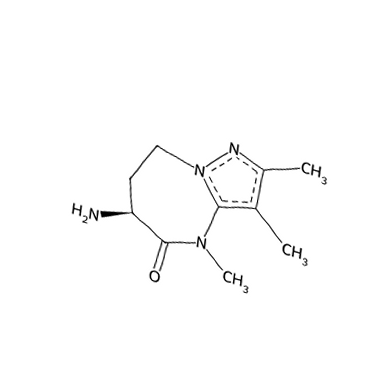 Cc1nn2c(c1C)N(C)C(=O)[C@@H](N)CC2